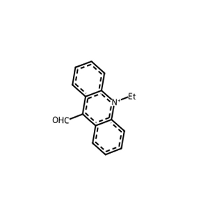 CC[n+]1c2ccccc2c(C=O)c2ccccc21